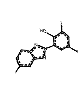 Oc1c(I)cc(I)cc1-n1nc2ccc(I)cc2n1